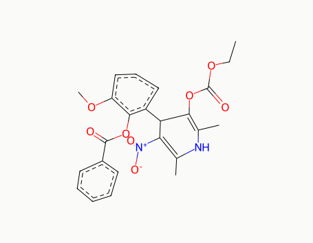 CCOC(=O)OC1=C(C)NC(C)=C([N+](=O)[O-])C1c1cccc(OC)c1OC(=O)c1ccccc1